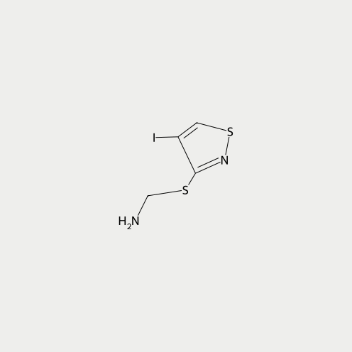 NCSc1nscc1I